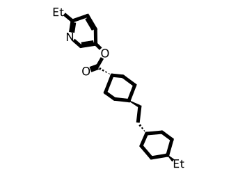 CCc1ccc(OC(=O)[C@H]2CC[C@H](CC[C@H]3CC[C@H](CC)CC3)CC2)cn1